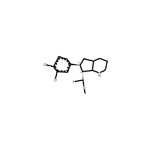 COC(F)[C@H]1C2NCCCC2C[C@@H]1c1ccc(Cl)c(Cl)c1